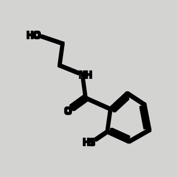 O=C(NCCO)c1ccccc1S